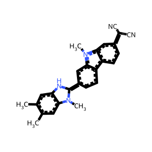 Cc1cc2c(cc1C)N(C)/C(=c1\ccc3c4ccc(=C(C#N)C#N)cc4n(C)c3c1)N2